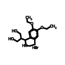 Br.CCOc1cc2c(cc1OCC)C(C(CO)CO)NCC2